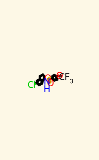 O=S(=O)(N[C@H]1CCCc2cc(Cl)ccc21)c1ccc(OC(F)(F)F)cc1